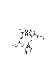 Cc1cscc1CCn1ccnc1.O=C(O)/C=C/C(=O)O